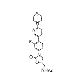 CC(=O)NCC1CN(c2ccc(-c3ccc(N4CCSCC4)nc3)c(F)c2)C(=O)O1